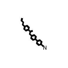 C=CCCc1ccc(C(=C)Cc2ccc(-c3ccc(C#N)cc3)cc2)cc1